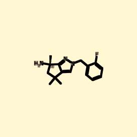 CC1(C)C[C@](C)(N)c2nn(Cc3ccccc3F)cc21